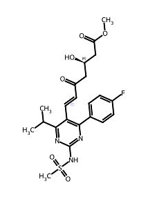 COC(=O)C[C@H](O)CC(=O)/C=C/c1c(-c2ccc(F)cc2)nc(NS(C)(=O)=O)nc1C(C)C